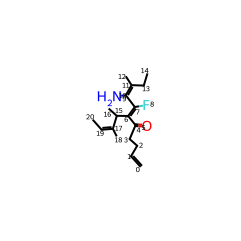 C=CCCC(=O)/C(=C(F)/C(N)=C(/C)CC)C(C)/C(C)=C\C